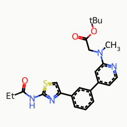 CCC(=O)Nc1nc(-c2cccc(-c3ccnc(N(C)CC(=O)OC(C)(C)C)c3)c2)cs1